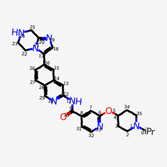 CC(C)N1CCC(Oc2cc(C(=O)Nc3cc4cc(-c5cnc6n5CCNC6)ccc4cn3)ccn2)CC1